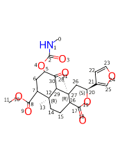 CNC(=O)OC1CC(C(=O)OC)[C@]2(C)CCC3C(=O)O[C@H](c4ccoc4)C[C@]3(C)C2C1=O